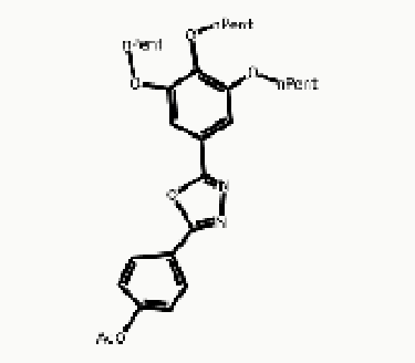 CCCCCOc1cc(-c2nnc(-c3ccc(OC(C)=O)cc3)o2)cc(OCCCCC)c1OCCCCC